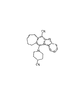 N#Cc1c2c(c(N3CCC(C#N)CC3)n3c1nc1ccccc13)CCCCC2